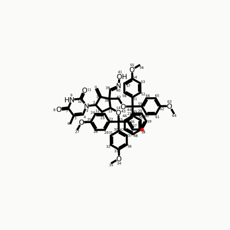 C=C1C(n2cc(C)c(=O)[nH]c2=O)CC(OC(c2ccccc2)(c2ccc(OC)cc2)c2ccc(OC)cc2)C1(/C=N/O)COC(c1ccccc1)(c1ccc(OC)cc1)c1ccc(OC)cc1